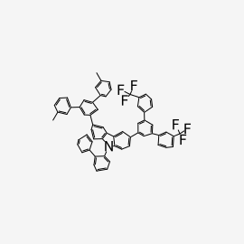 Cc1cccc(-c2cc(-c3cccc(C)c3)cc(-c3ccc4c(c3)c3cc(-c5cc(-c6cccc(C(F)(F)F)c6)cc(-c6cccc(C(F)(F)F)c6)c5)ccc3n4-c3ccccc3-c3ccccc3)c2)c1